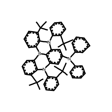 CC(C)(C)c1ccccc1N1c2cc(N(c3ccccc3)c3ccccc3)cc3c2B(c2cccc(C(C)(C)C)c21)c1cccc(C(C)(C)C)c1N3c1ccccc1C(C)(C)C